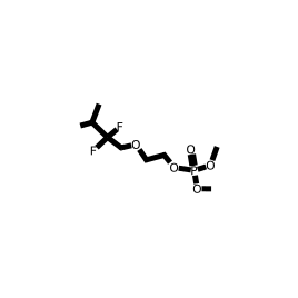 COP(=O)(OC)OCCOCC(F)(F)C(C)C